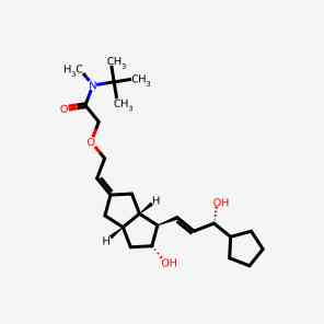 CN(C(=O)COCC=C1C[C@H]2C[C@@H](O)[C@H](/C=C/[C@H](O)C3CCCC3)[C@H]2C1)C(C)(C)C